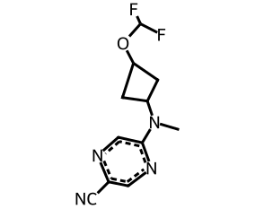 CN(c1cnc(C#N)cn1)C1CC(OC(F)F)C1